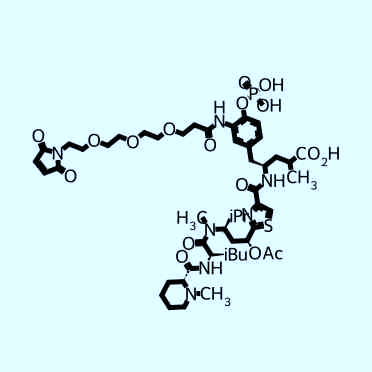 CC[C@H](C)[C@H](NC(=O)[C@H]1CCCCN1C)C(=O)N(C)[C@H](C[C@@H](OC(C)=O)c1nc(C(=O)N[C@@H](Cc2ccc(OP(=O)(O)O)c(NC(=O)CCOCCOCCOCCN3C(=O)C=CC3=O)c2)CC(C)C(=O)O)cs1)C(C)C